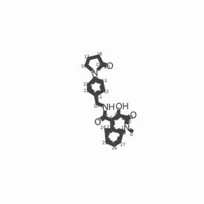 Cn1c(=O)c(O)c(C(=O)NCc2ccc(N3CCCC3=O)cc2)c2ccccc21